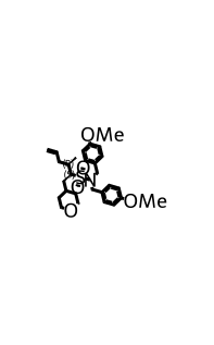 C=CC[C@@H](C)[C@H](CC1CCOCC1)S(=O)(=O)N(Cc1ccc(OC)cc1)Cc1ccc(OC)cc1